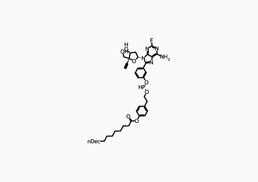 C#C[C@]1(CO)O[C@@H](n2c(-c3cccc(OPOCCc4ccc(OC(=O)CCCCCCCCCCCCCCCCC)cc4)c3)nc3c(N)nc(F)nc32)C[C@@H]1O